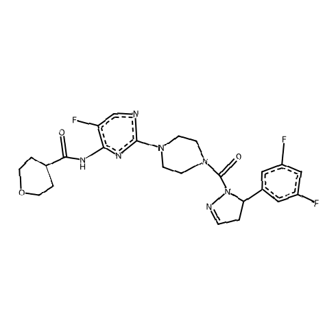 O=C(Nc1nc(N2CCN(C(=O)N3N=CCC3c3cc(F)cc(F)c3)CC2)ncc1F)C1CCOCC1